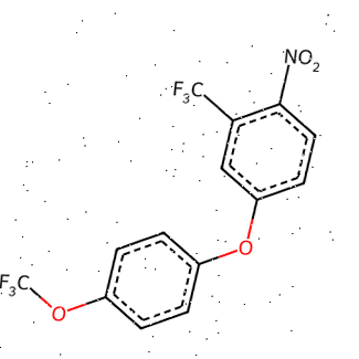 O=[N+]([O-])c1ccc(Oc2ccc(OC(F)(F)F)cc2)cc1C(F)(F)F